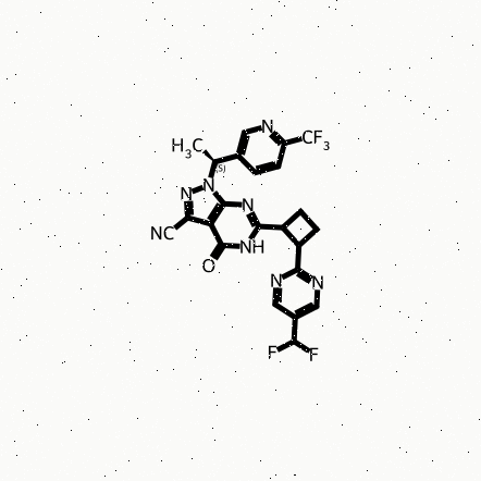 C[C@@H](c1ccc(C(F)(F)F)nc1)n1nc(C#N)c2c(=O)[nH]c(C3CCC3c3ncc(C(F)F)cn3)nc21